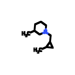 CC1CCCN(CC2CC2C)C1